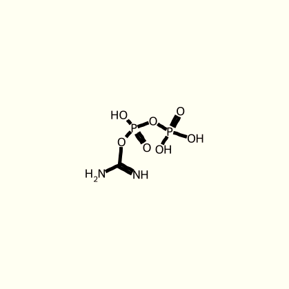 N=C(N)OP(=O)(O)OP(=O)(O)O